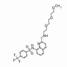 COCCOCCOCCNCc1ccc2cccc(NS(=O)(=O)c3ccc(C(F)(F)F)cc3)c2n1